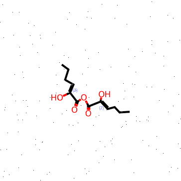 CCC/C=C(\O)C(=O)OC(=O)/C(O)=C/CCC